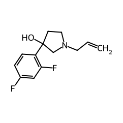 C=CCN1CCC(O)(c2ccc(F)cc2F)C1